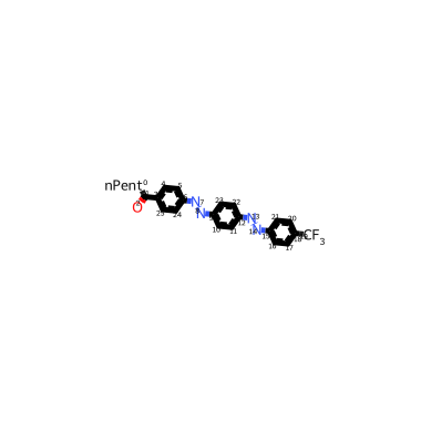 CCCCCC(=O)c1ccc(N=Nc2ccc(N=Nc3ccc(C(F)(F)F)cc3)cc2)cc1